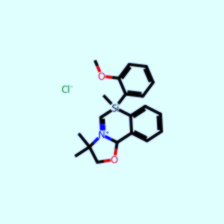 COc1ccccc1[Si]1(C)C=[N+]2C(OCC2(C)C)c2ccccc21.[Cl-]